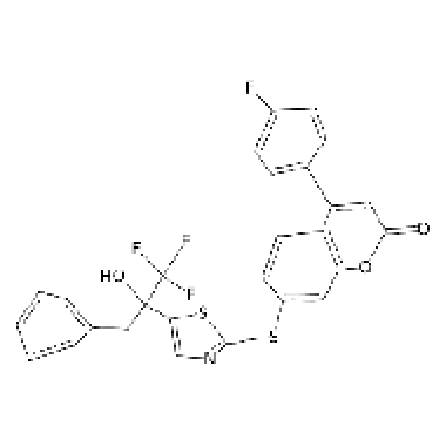 O=c1cc(-c2ccc(F)cc2)c2ccc(Sc3ncc(C(O)(Cc4ccccc4)C(F)(F)F)s3)cc2o1